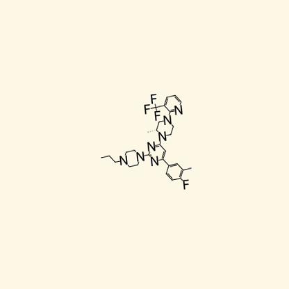 CCCN1CCN(c2nc(-c3ccc(F)c(C)c3)cc(N3CCN(c4ncccc4C(F)(F)F)C[C@H]3C)n2)CC1